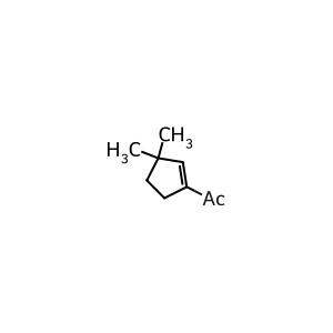 CC(=O)C1=CC(C)(C)CC1